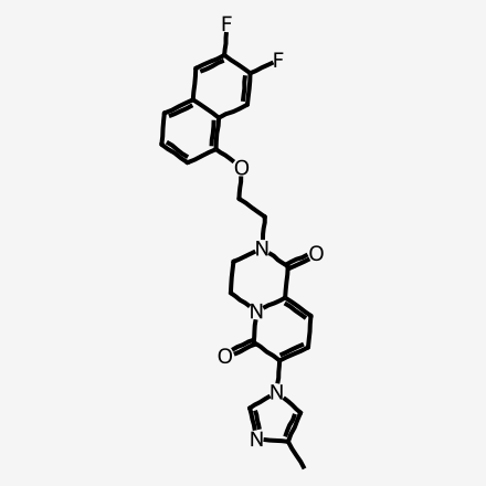 Cc1cn(-c2ccc3n(c2=O)CCN(CCOc2cccc4cc(F)c(F)cc24)C3=O)cn1